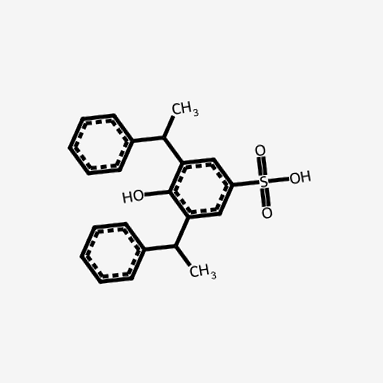 CC(c1ccccc1)c1cc(S(=O)(=O)O)cc(C(C)c2ccccc2)c1O